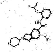 CC(C)Oc1cc2nn(C3CCOCC3)cc2cc1C(=O)Nc1cccnc1OC(F)F